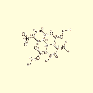 CCOC(=O)C1=C(N(C)C)N=C(C)C(C(=O)OCC)C1c1cccc([N+](=O)[O-])c1